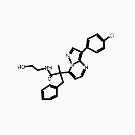 CC(Cc1ccccc1)(C(=O)NCCO)c1ccnc2c(-c3ccc(Cl)cc3)cnn12